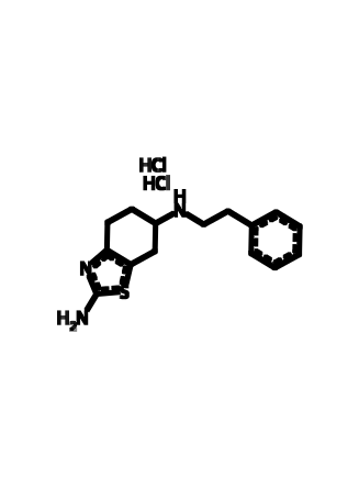 Cl.Cl.Nc1nc2c(s1)CC(NCCc1ccccc1)CC2